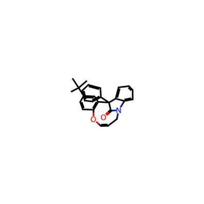 CC(C)(C)c1ccc2c(c1)C1(c3ccccc3)C(=O)N(C/C=C\O2)c2ccccc21